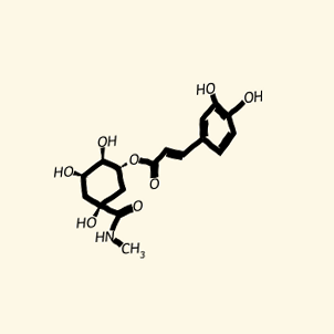 CNC(=O)[C@]1(O)C[C@@H](O)[C@@H](O)[C@H](OC(=O)/C=C/c2ccc(O)c(O)c2)C1